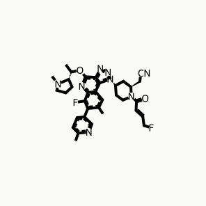 Cc1ccc(-c2c(C)cc3c(nc(OC(C)[C@@H]4CCCN4C)c4nnn([C@H]5CCN(C(=O)/C=C/CF)[C@H](CC#N)C5)c43)c2F)cn1